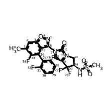 Cc1cc2onc(-n3cc4n(c3=O)C[C@@H](NS(C)(=O)=O)C4(F)F)c2c(-c2c(F)cccc2F)c1F